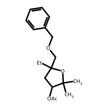 CCC1(COCc2ccccc2)CC(OC(C)=O)C(C)(C)O1